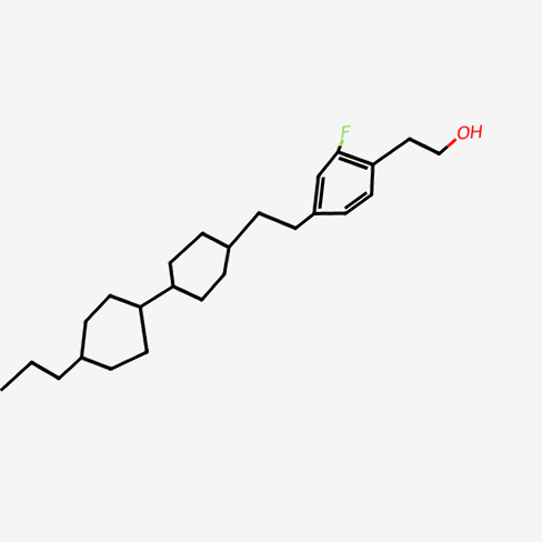 CCCC1CCC(C2CCC(CCc3ccc(CCO)c(F)c3)CC2)CC1